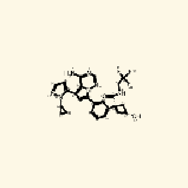 Nc1ncnn2c(-c3cccc([C@]4(C(=O)NCC(F)(F)F)C[C@@H](O)C4)c3)cc(-c3ccnn3C3CC3)c12